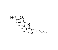 CCCCCCCC(=O)NC(C(=O)OC1COC2C(O)COC12)C(C)C